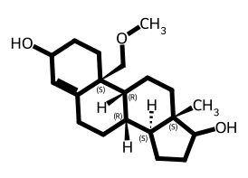 COC[C@]12CCC(O)C=C1CC[C@@H]1[C@H]2CC[C@]2(C)C(O)CC[C@@H]12